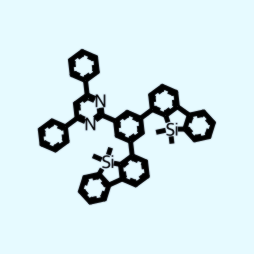 C[Si]1(C)c2ccccc2-c2cccc(-c3cc(-c4nc(-c5ccccc5)cc(-c5ccccc5)n4)cc(-c4cccc5c4[Si](C)(C)c4ccccc4-5)c3)c21